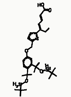 CCC(=CC=CC(=O)O)c1ccc(COc2ccc(C(C)(C)O[SiH2]C(C)(C)C)c(C(C)(C)O[SiH2]C(C)(C)C)c2)s1